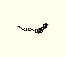 CCCCC[C@H]1CC[C@H](C2CCC(CCc3ccc(C(F)(F)Oc4ccc(OC(F)(F)F)cc4)cc3)CC2)CC1